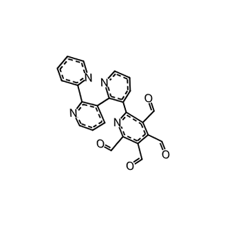 O=Cc1nc(-c2cccnc2-c2cccnc2-c2ccccn2)c(C=O)c(C=O)c1C=O